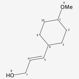 COC1CCC(/C=C/CO)CC1